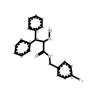 CCOC(C(=O)OCc1ccc(F)cc1)C(c1ccccc1)c1ccccc1